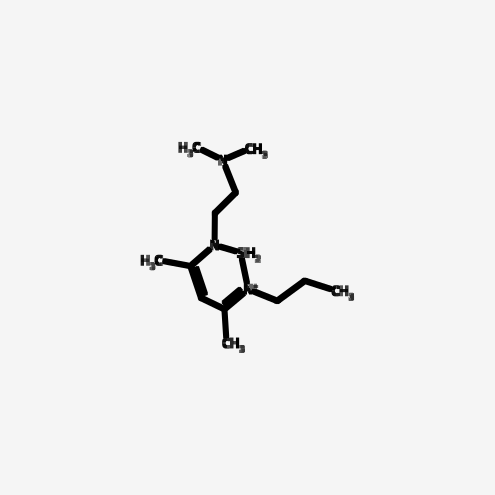 CCC[N+]1=C(C)C=C(C)N(CCN(C)C)[SiH2]1